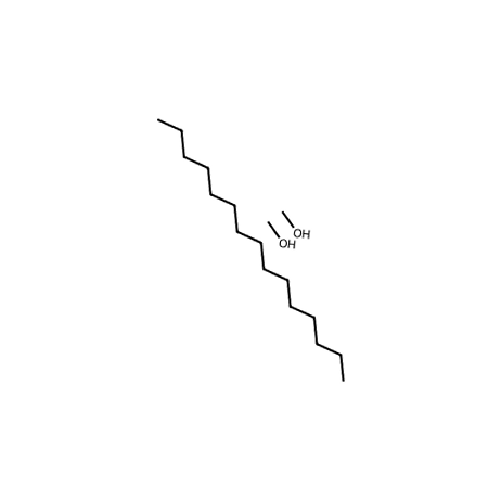 CCCCCCCCCCCCCCC.CO.CO